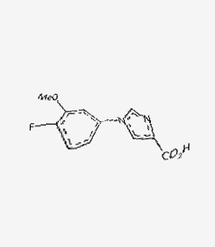 COc1cc(-n2cnc(C(=O)O)c2)ccc1F